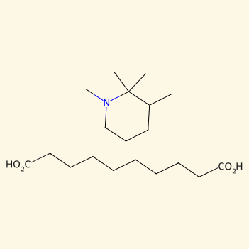 CC1CCCN(C)C1(C)C.O=C(O)CCCCCCCCC(=O)O